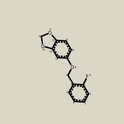 Fc1ccccc1COc1ccc2c(c1)OCO2